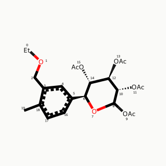 CCOCc1cc([C@@H]2OC(OC(C)=O)[C@@H](OC(C)=O)[C@H](OC(C)=O)[C@H]2OC(C)=O)ccc1C